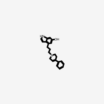 Oc1cc(CCCN2CC=C(c3ccccc3)CC2)c2cc[nH]c2c1